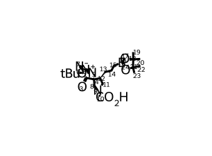 CC(C)(C)OC(=O)[C@]1(N=[N+]=[N-])CN(C(=O)O)C[C@@H]1CCCB1OC(C)(C)C(C)(C)O1